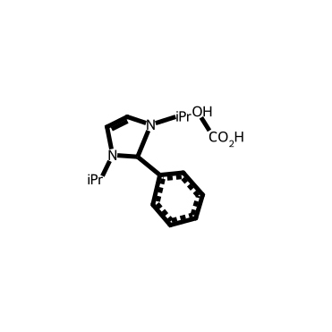 CC(C)N1C=CN(C(C)C)C1c1ccccc1.O=C(O)O